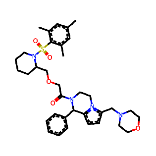 Cc1cc(C)c(S(=O)(=O)N2CCCCC2COCC(=O)N2CCn3c(CN4CCOCC4)ccc3C2c2ccccc2)c(C)c1